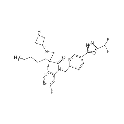 CCCCC1N(C2CNC2)CC1(F)C(=O)N(Cc1ccc(-c2nnc(C(F)F)o2)cn1)c1cccc(F)c1